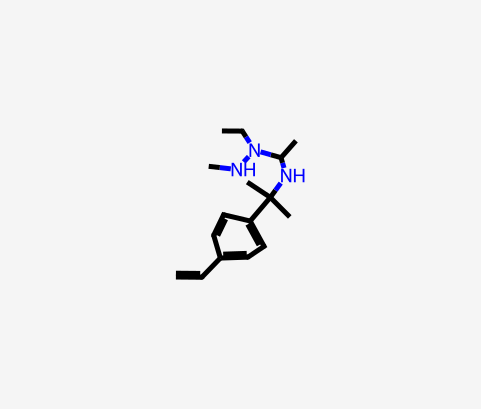 C=Cc1ccc(C(C)(C)NC(C)N(CC)NC)cc1